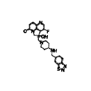 O=c1ccc2ncc(F)c3c2n1C[C@@]3(O)CN1CCC(NCc2ccc3nnsc3c2)CC1